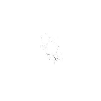 C[C@@H]1CCC[C@@]2(C)CC[C@H]3[C@H](C)C(O)C[C@@H](C[C@H]12)C3(C)C